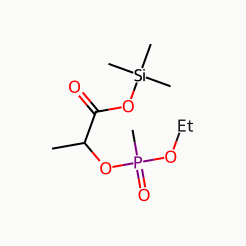 CCOP(C)(=O)OC(C)C(=O)O[Si](C)(C)C